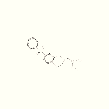 CC(=O)N(C)C[C@H]1CCc2ccc(S(=O)(=O)c3ccccc3)cc2O1